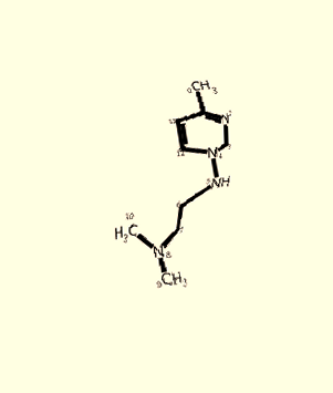 CC1=NCN(NCCN(C)C)C=C1